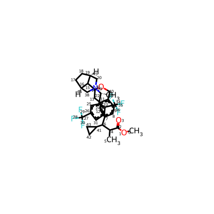 COC(=O)C(C)C(c1ccc2c(c1)CC(C1[C@@H]3CC[C@H]1CN([C@H](C)c1cc(C(F)(F)F)ccc1C(F)(F)F)C3)OC2)C1CC1